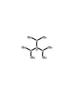 CC(C)(C)N([SiH](N(C(C)(C)C)C(C)(C)C)N(C(C)(C)C)C(C)(C)C)C(C)(C)C